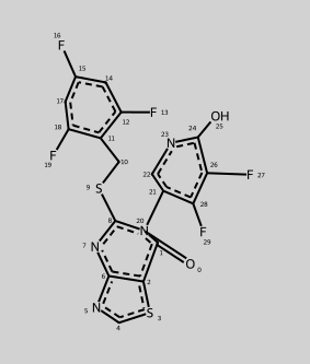 O=c1c2scnc2nc(SCc2c(F)cc(F)cc2F)n1-c1cnc(O)c(F)c1F